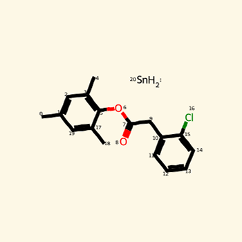 Cc1cc(C)c(OC(=O)Cc2ccccc2Cl)c(C)c1.[SnH2]